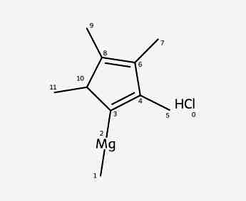 Cl.[CH3][Mg][C]1=C(C)C(C)=C(C)C1C